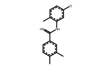 Cc1ccc(C(=N)Nc2cc(Cl)ccc2C)cc1C